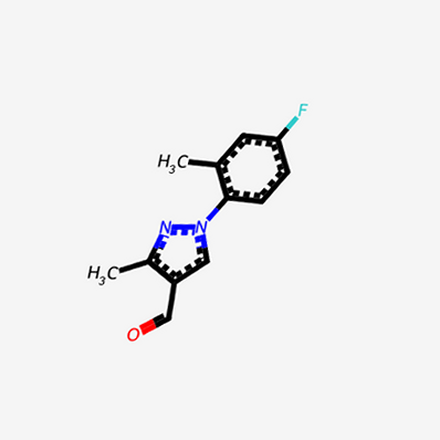 Cc1cc(F)ccc1-n1cc(C=O)c(C)n1